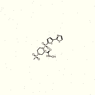 CS(=O)(=O)N1CCN(S(=O)(=O)c2ccc(-c3nccs3)s2)[C@@H](C(=O)NO)C1